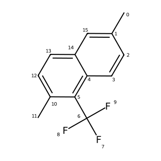 Cc1ccc2c(C(F)(F)F)c(C)ccc2c1